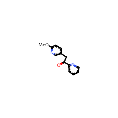 COc1ccc(CC(=O)c2ccccn2)cn1